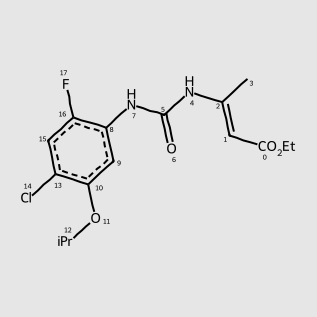 CCOC(=O)C=C(C)NC(=O)Nc1cc(OC(C)C)c(Cl)cc1F